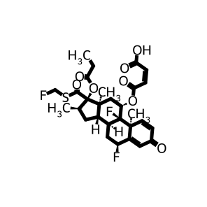 CCC(=O)O[C@]1(C(=O)SCF)[C@H](C)C[C@H]2[C@@H]3C[C@H](F)C4=CC(=O)C=C[C@]4(C)[C@@]3(F)[C@@H](OC(=O)/C=C\C(=O)O)C[C@@]21C